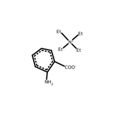 CC[N+](CC)(CC)CC.Nc1ccccc1C(=O)[O-]